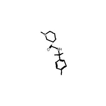 Cc1ccc(C(C)(C)NC(=O)[C@H]2CCCN(C)C2)cc1